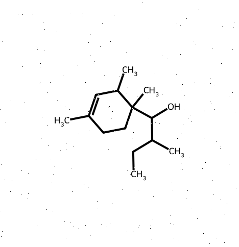 CCC(C)C(O)C1(C)CCC(C)=CC1C